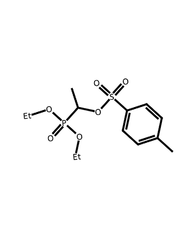 CCOP(=O)(OCC)C(C)OS(=O)(=O)c1ccc(C)cc1